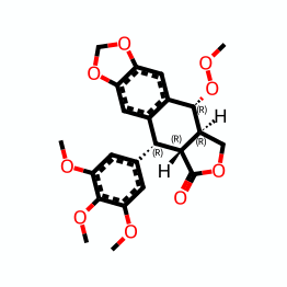 COO[C@H]1c2cc3c(cc2[C@@H](c2cc(OC)c(OC)c(OC)c2)[C@H]2C(=O)OC[C@@H]21)OCO3